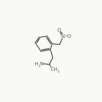 CC(N)Cc1ccccc1C[N+](=O)[O-]